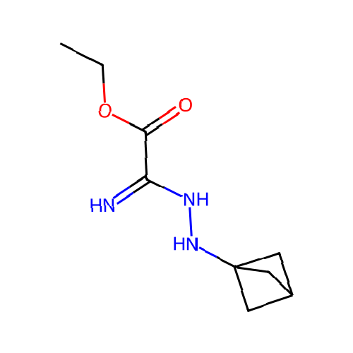 CCOC(=O)C(=N)NNC12CC(C1)C2